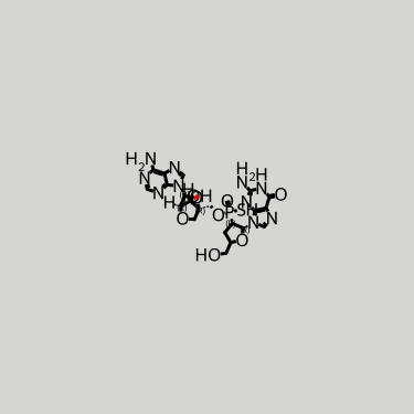 Nc1nc2c(ncn2[C@@H]2OC(CO)C[C@H]2P(=O)(S)OC[C@@]23CO[C@@H]([C@H](n4cnc5c(N)ncnc54)O2)[C@@H]3O)c(=O)[nH]1